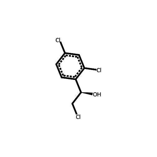 O[C@@H](CCl)c1ccc(Cl)cc1Cl